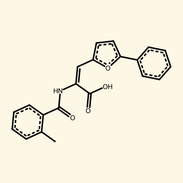 Cc1ccccc1C(=O)NC(=Cc1ccc(-c2ccccc2)o1)C(=O)O